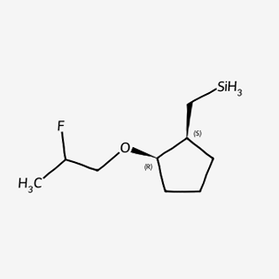 CC(F)CO[C@@H]1CCC[C@@H]1C[SiH3]